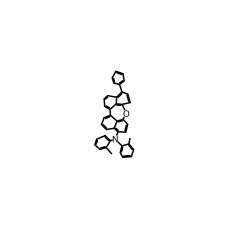 Cc1ccccc1N(c1ccccc1C)c1ccc2oc3ccc(-c4ccccc4)c4cccc(c5cccc1c25)c34